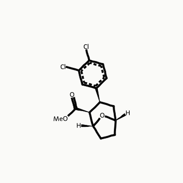 COC(=O)[C@H]1[C@@H](c2ccc(Cl)c(Cl)c2)C[C@@H]2CC[C@H]1O2